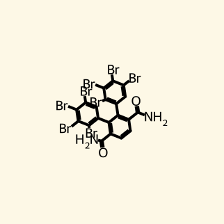 NC(=O)c1ccc(C(N)=O)c(-c2cc(Br)c(Br)c(Br)c2Br)c1-c1cc(Br)c(Br)c(Br)c1Br